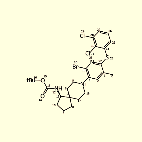 Cc1cc(N2CCC3(CCC[C@H]3NC(=O)OC(C)(C)C)CC2)c(Br)nc1Sc1cccc(Cl)c1Cl